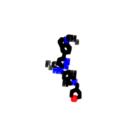 Cn1ccc2cc(-c3cc(C(F)(F)F)c(N[C@H]4C[C@@H]5CN(CC6CCOCC6)C[C@@H]5C4)nn3)ccc21